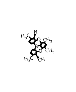 C#Cc1c(C)ccc2c1Oc1c(C)cc(C)c3c1B2c1ccc(C)c(C#N)c1O3